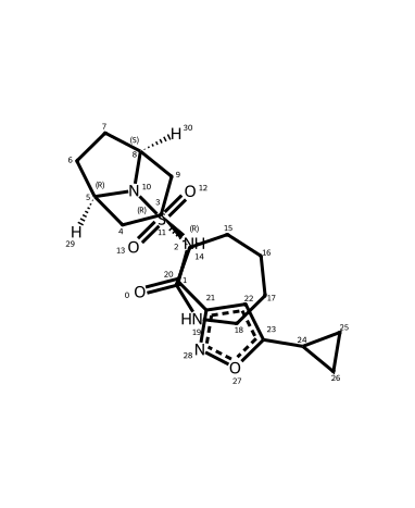 O=C(N[C@H]1C[C@H]2CC[C@@H](C1)N2S(=O)(=O)[C@@H]1CCCCNC1)c1cc(C2CC2)on1